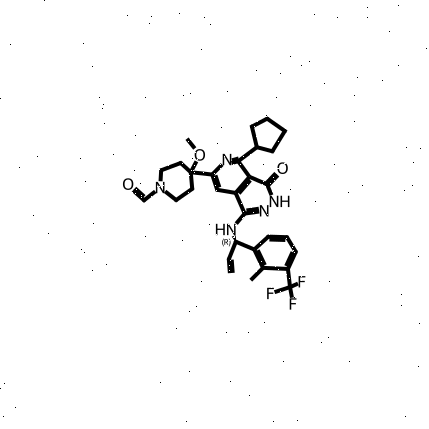 C=C[C@@H](Nc1n[nH]c(=O)c2c(C3CCCC3)nc(C3(OC)CCN(C=O)CC3)cc12)c1cccc(C(F)(F)F)c1C